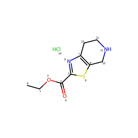 CCOC(=O)c1nc2c(s1)CNCC2.Cl